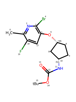 Cc1nc(Br)c(O[C@@H]2CC[C@H](NC(=O)OC(C)(C)C)C2)cc1F